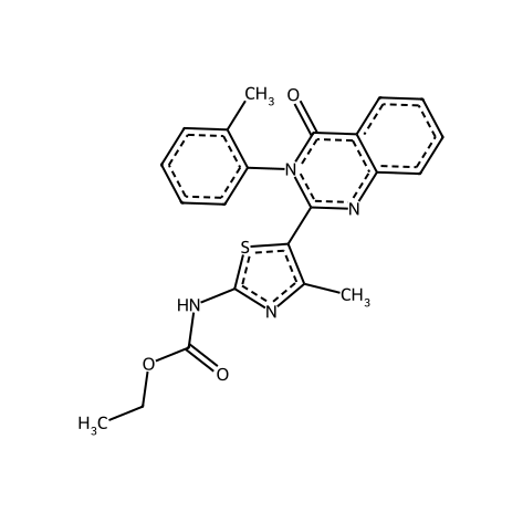 CCOC(=O)Nc1nc(C)c(-c2nc3ccccc3c(=O)n2-c2ccccc2C)s1